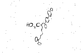 O=C(CCCCCC(CC(=O)c1ccc(-c2ccc(Cl)cc2)cc1)C(=O)O)c1ccccc1